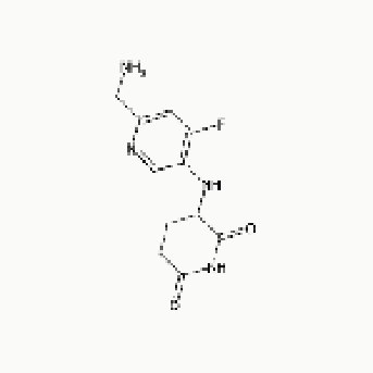 NCc1cc(F)c(NC2CCC(=O)NC2=O)cn1